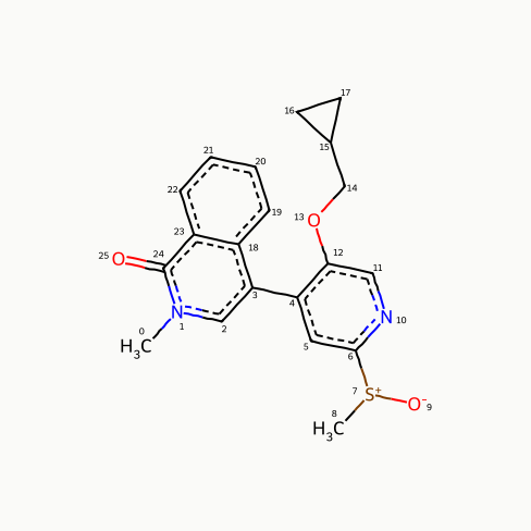 Cn1cc(-c2cc([S+](C)[O-])ncc2OCC2CC2)c2ccccc2c1=O